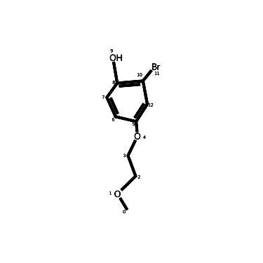 COCCOc1ccc(O)c(Br)c1